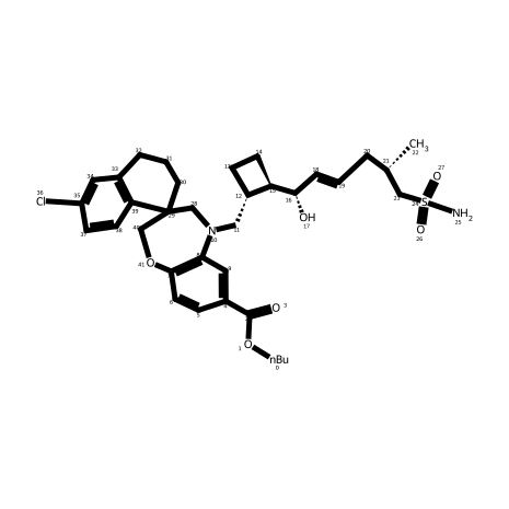 CCCCOC(=O)c1ccc2c(c1)N(C[C@@H]1CC[C@H]1[C@@H](O)C=CC[C@H](C)CS(N)(=O)=O)CC1(CCCc3cc(Cl)ccc31)CO2